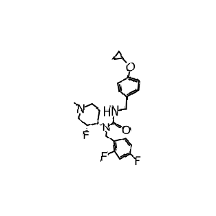 CN1CC[C@H](N(Cc2ccc(F)cc2F)C(=O)NCc2ccc(OC3CC3)cc2)[C@H](F)C1